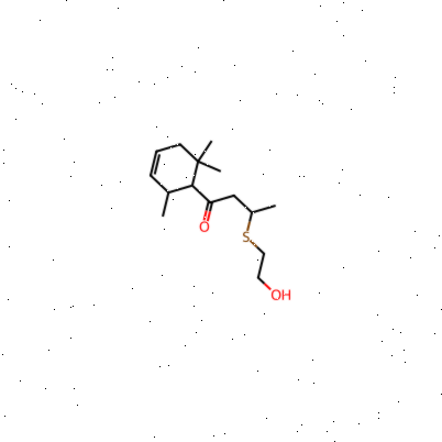 CC(CC(=O)C1C(C)C=CCC1(C)C)SCCO